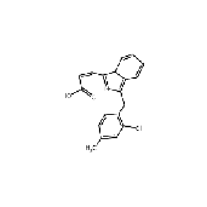 Cc1ccc(CC2=C3C=CC=CC3C(/C=C\C(=O)O)=N2)c(Cl)c1